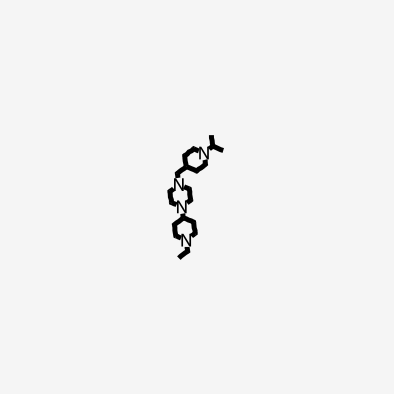 CCN1CCC(N2CCN(CC3CCN(C(C)C)CC3)CC2)CC1